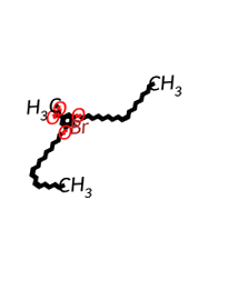 CCCCC/C=C\C/C=C\CCCCCCCCOc1cc(C(=O)OC)cc(OCCCCCCCC/C=C\CCCCCCCC)c1Br